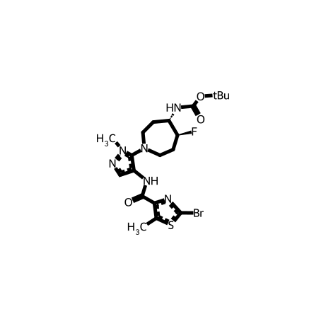 Cc1sc(Br)nc1C(=O)Nc1cnn(C)c1N1CC[C@H](NC(=O)OC(C)(C)C)[C@@H](F)CC1